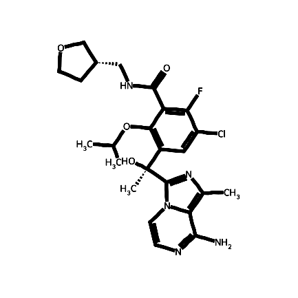 Cc1nc([C@@](C)(O)c2cc(Cl)c(F)c(C(=O)NC[C@@H]3CCOC3)c2OC(C)C)n2ccnc(N)c12